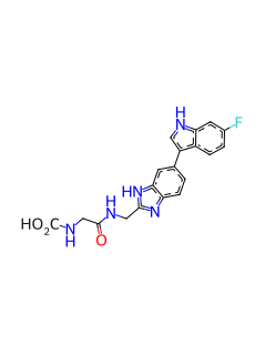 O=C(O)NCC(=O)NCc1nc2ccc(-c3c[nH]c4cc(F)ccc34)cc2[nH]1